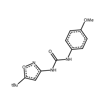 COc1ccc(NC(=O)Nc2cc(C(C)(C)C)on2)cc1